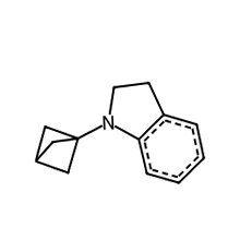 c1ccc2c(c1)CCN2C12CC(C1)C2